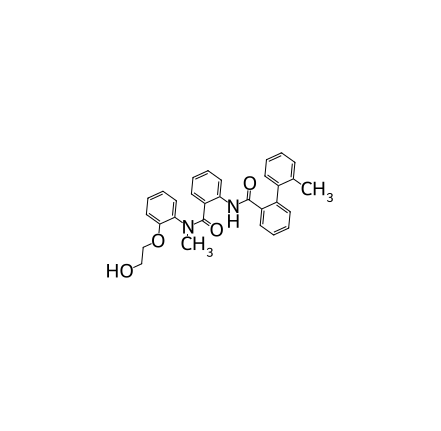 Cc1ccccc1-c1ccccc1C(=O)Nc1ccccc1C(=O)N(C)c1ccccc1OCCO